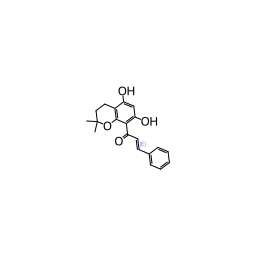 CC1(C)CCc2c(O)cc(O)c(C(=O)/C=C/c3ccccc3)c2O1